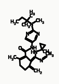 C=C1CCC(C)=C(C(=O)Nc2cnc(N(C)C(C)(C)CC)nc2)/C1=C(/N=C\C)NC1(C)CC1